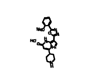 COc1ccccc1-c1nnc(-c2cnn3c(C4CCNCC4)cc(=O)[nH]c23)o1.Cl